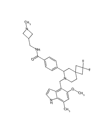 COc1cc(C)c2[nH]ccc2c1CN1CCC2(CC1c1ccc(C(=O)NCC3CN(C)C3)cc1)CC(F)(F)C2